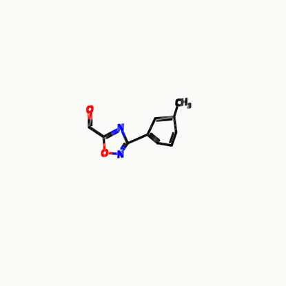 Cc1cccc(-c2noc(C=O)n2)c1